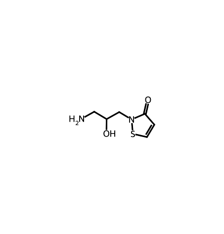 NCC(O)Cn1sccc1=O